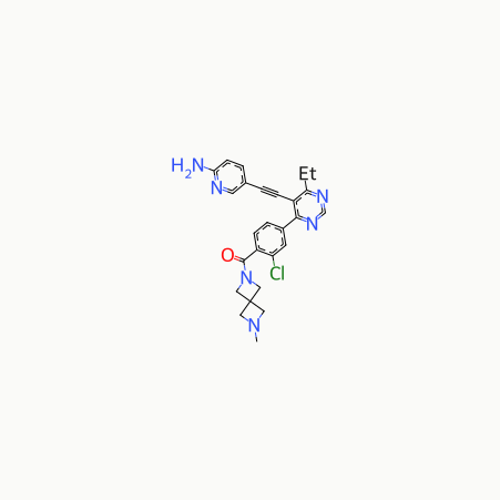 CCc1ncnc(-c2ccc(C(=O)N3CC4(CN(C)C4)C3)c(Cl)c2)c1C#Cc1ccc(N)nc1